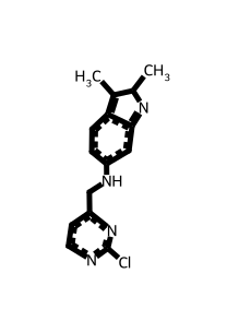 CC1=c2ccc(NCc3ccnc(Cl)n3)cc2=NC1C